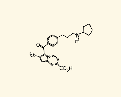 CCc1cc2cc(C(=O)O)ccn2c1C(=O)c1ccc(CCCNC2CCCC2)cc1